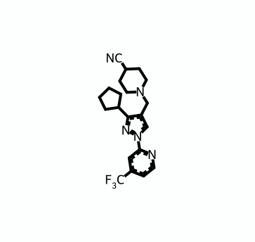 N#CC1CCN(Cc2cn(-c3cc(C(F)(F)F)ccn3)nc2C2CCCC2)CC1